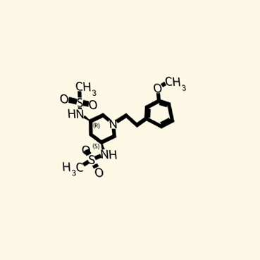 COc1cccc(CCN2C[C@H](NS(C)(=O)=O)C[C@H](NS(C)(=O)=O)C2)c1